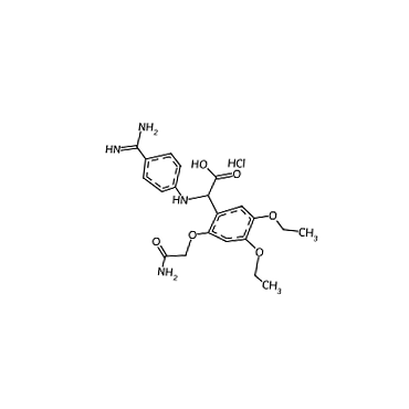 CCOc1cc(OCC(N)=O)c(C(Nc2ccc(C(=N)N)cc2)C(=O)O)cc1OCC.Cl